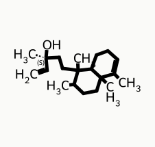 C=C[C@@](C)(O)CCC1(C)C(C)CCC2(C)C(C)=CCCC21